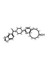 CC(c1ccc2scnc2c1)N1CCN(c2ncc3c(n2)CCCCC(O)CCC3)CC1